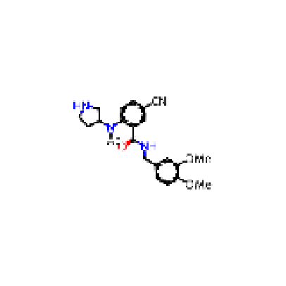 COc1ccc(CNC(=O)c2cc(C#N)ccc2N(C(C)=O)C2CCNC2)cc1OC